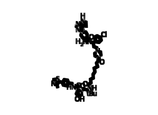 Cc1ncsc1-c1ccc(CNC(=O)[C@@H]2C[C@@H](O)CN2C(=O)C(NC(=O)CCCCCCCCC(=O)N2CCN(CCC(NC(=O)C3(N)CCN(c4ncnc5[nH]ccc45)CC3)c3ccc(Cl)cc3)CC2)C(C)(C)C)cc1